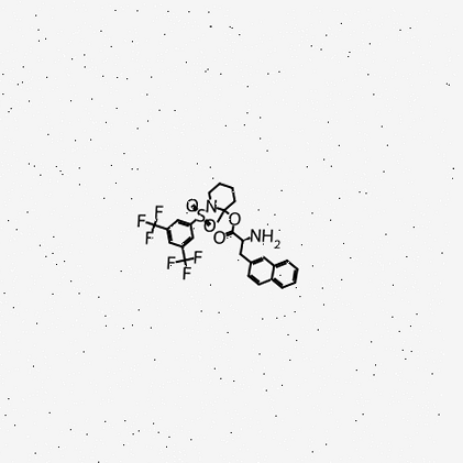 CC1(OC(=O)[C@@H](N)Cc2ccc3ccccc3c2)CCCCN1S(=O)(=O)c1cc(C(F)(F)F)cc(C(F)(F)F)c1